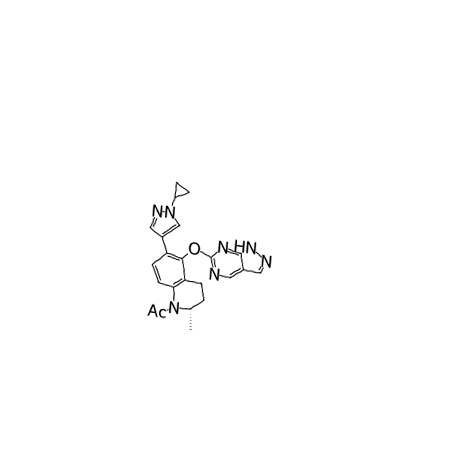 CC(=O)N1c2ccc(-c3cnn(C4CC4)c3)c(Oc3ncc4cn[nH]c4n3)c2CC[C@@H]1C